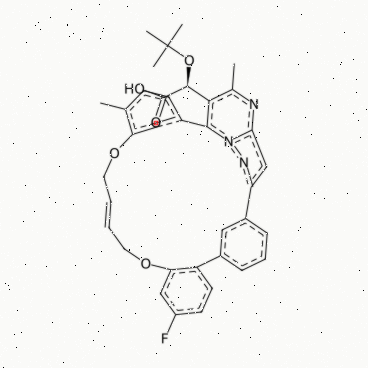 Cc1ccc2cc1OC/C=C/COc1cc(F)ccc1-c1cccc(c1)-c1cc3nc(C)c([C@H](OC(C)(C)C)C(=O)O)c-2n3n1